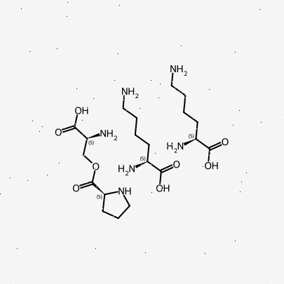 NCCCC[C@H](N)C(=O)O.NCCCC[C@H](N)C(=O)O.N[C@@H](COC(=O)[C@@H]1CCCN1)C(=O)O